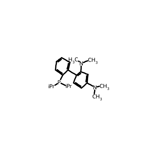 CC(C)P(c1ccccc1-c1ccc(N(C)C)cc1N(C)C)C(C)C